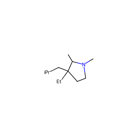 CCC1(CC(C)C)CCN(C)C1C